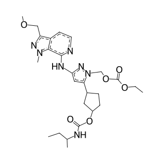 CCOC(=O)OCn1nc(Nc2nccc3c(COC)nn(C)c23)cc1C1CCC(OC(=O)NC(C)CC)C1